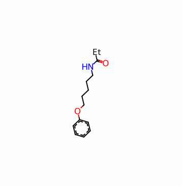 CCC(=O)NCCCCCOc1ccccc1